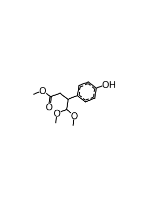 COC(=O)CC(c1ccc(O)cc1)C(OC)OC